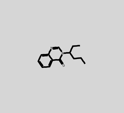 CCCC(CC)n1cnc2ccccc2c1=O